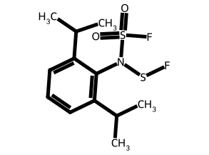 CC(C)c1cccc(C(C)C)c1N(SF)S(=O)(=O)F